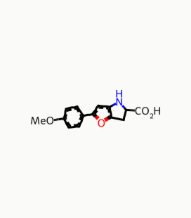 COc1ccc(-c2cc3c(o2)CC(C(=O)O)N3)cc1